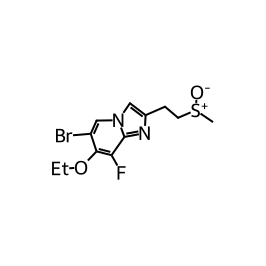 CCOc1c(Br)cn2cc(CC[S+](C)[O-])nc2c1F